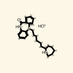 Cl.O=C1Nc2ccccc2N(CCCCCCC2CCCCCN2)c2ccccc21